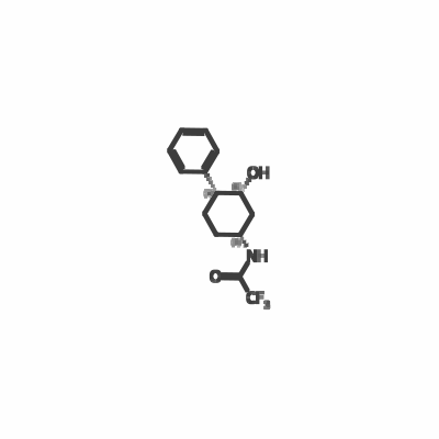 O=C(N[C@@H]1CC[C@H](c2ccccc2)[C@H](O)C1)C(F)(F)F